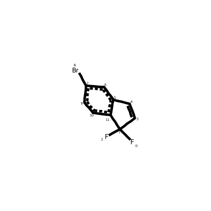 FC1(F)C=Cc2cc(Br)ccc21